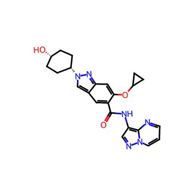 O=C(Nc1cnn2cccnc12)c1cc2cn([C@H]3CC[C@@H](O)CC3)nc2cc1OC1CC1